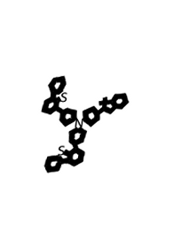 CC1(C)C(c2ccc(N(c3ccc(-c4cccc5c4sc4ccccc45)cc3)c3ccc(-c4cccc5c4sc4ccccc45)cc3)cc2)=Cc2ccccc21